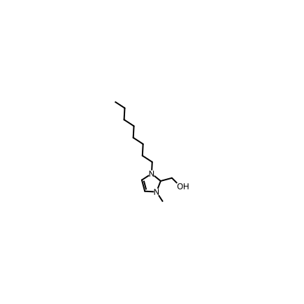 CCCCCCCCN1C=CN(C)C1CO